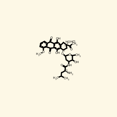 COc1cccc2c1C(=O)c1c(O)c3c(c(O)c1C2=O)C[C@@](O)(C(C)=O)C[C@@H]3OC1CC(NC(=O)[C@@H](N)CC(C)C)C(O)C(C)O1.Cl